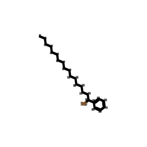 CCCCCCCCCCCCCCCCC(Br)c1ccccc1